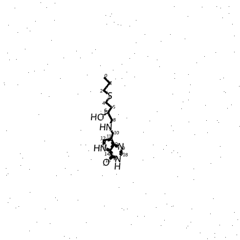 CCCSCC[C@H](O)CNCc1c[nH]c2c(=O)[nH]cnc12